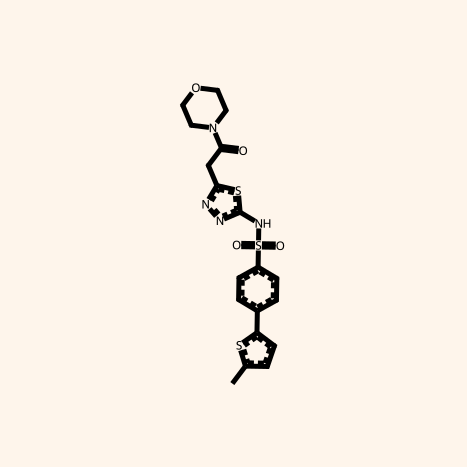 Cc1ccc(-c2ccc(S(=O)(=O)Nc3nnc(CC(=O)N4CCOCC4)s3)cc2)s1